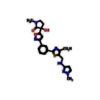 CN1CCC(O)(c2cc(-c3cccc(-c4nc(C(=O)O)c(CNc5ccn(C)n5)s4)c3)no2)C1=O